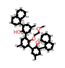 COCCOc1c(-c2cc(C)cc(-c3cccc4ccccc34)c2O)cc(C)cc1-c1cc(C)cc(-c2cccc3ccccc23)c1O